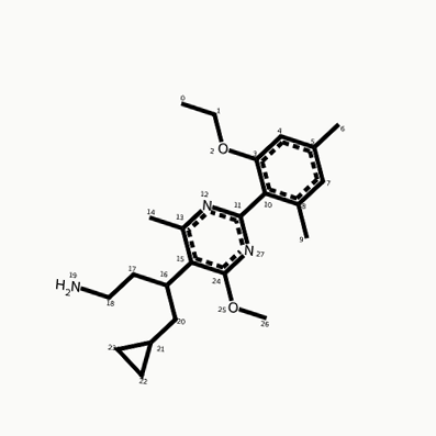 CCOc1cc(C)cc(C)c1-c1nc(C)c(C(CCN)CC2CC2)c(OC)n1